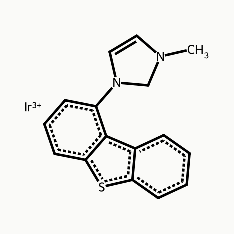 CN1C=CN(c2cccc3sc4ccccc4c23)C1.[Ir+3]